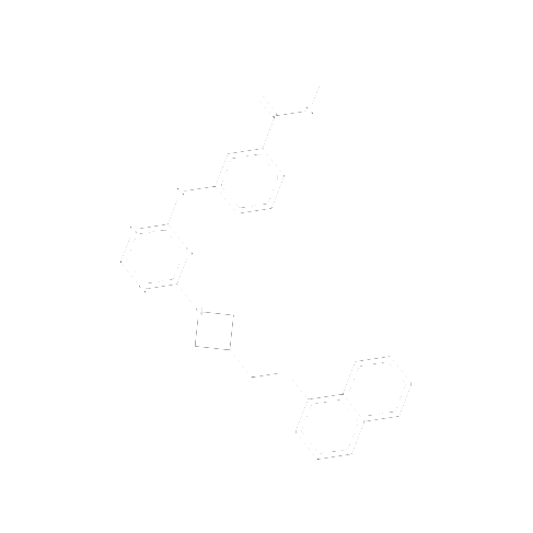 CNC(=O)c1cccc(Nc2ncnc(N3CC(COc4cccc5ccccc45)C3)n2)c1